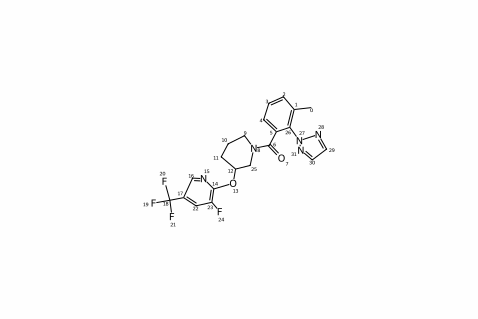 Cc1cccc(C(=O)N2CCCC(Oc3ncc(C(F)(F)F)cc3F)C2)c1-n1nccn1